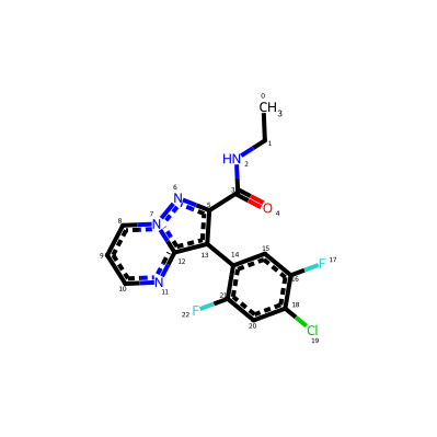 CCNC(=O)c1nn2cccnc2c1-c1cc(F)c(Cl)cc1F